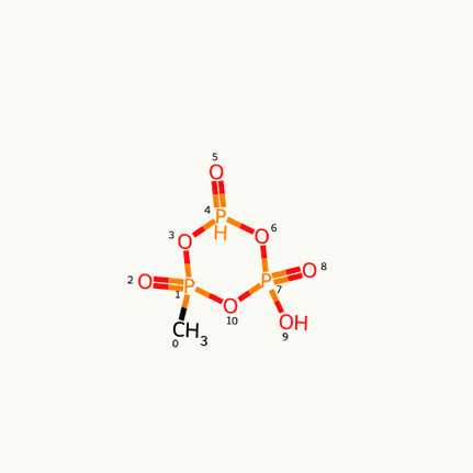 CP1(=O)O[PH](=O)OP(=O)(O)O1